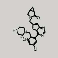 C[C@H]1CNCCN1Cc1ccc(Cl)cc1-c1ncnc2cc(CN3CC4CC4C3=O)sc12